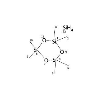 C[Si]1(C)O[Si](C)(C)O[Si](C)(C)O1.[SiH4]